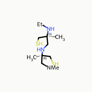 CCN[C@](C)(CS)CN[C@@](C)(CS)CNC